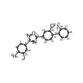 [2H]c1ccc(-c2noc(-c3ccc(-c4ccccc4C)c(C(F)(F)F)c3)n2)cc1C